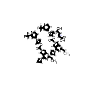 CCc1nc2c(c(N3CCC3)n1)CN(C(=O)OC1CN(c3ccnc(C(F)(F)F)c3)C1)C2.CCc1nc2c(c(N3CCC3)n1)CN(C(=O)OC1CN(c3ccnc(C(F)(F)F)c3)C1)C2.O=C(O)/C=C/C(=O)O